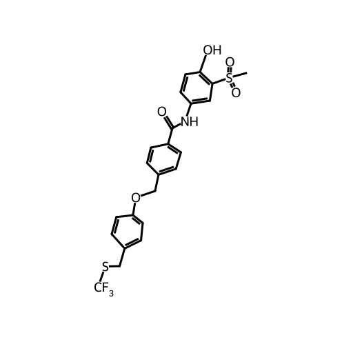 CS(=O)(=O)c1cc(NC(=O)c2ccc(COc3ccc(CSC(F)(F)F)cc3)cc2)ccc1O